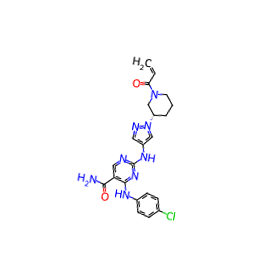 C=CC(=O)N1CCC[C@H](n2cc(Nc3ncc(C(N)=O)c(Nc4ccc(Cl)cc4)n3)cn2)C1